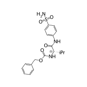 CC(C)[C@H](NC(=O)OCc1ccccc1)C(=O)Nc1ccc(S(N)(=O)=O)cc1